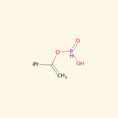 C=C(O[PH](=O)O)C(C)C